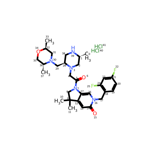 C[C@@H]1CN(CC(=O)N2CC(C)(C)c3cc(=O)n(Cc4ccc(F)cc4F)cc32)[C@@H](CN2C[C@H](C)OC[C@H]2C)CN1.Cl.Cl